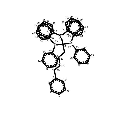 c1ccc(CPCCC(P(c2ccccc2)c2ccccc2)(P(c2ccccc2)c2ccccc2)P(c2ccccc2)c2ccccc2)cc1